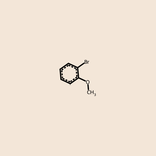 COc1[c]cccc1Br